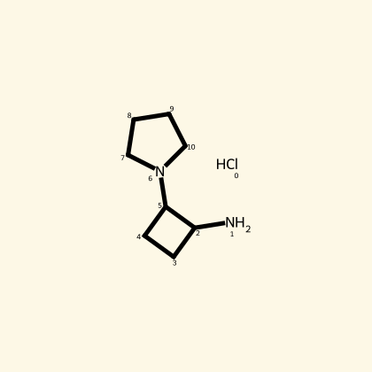 Cl.NC1CCC1N1CCCC1